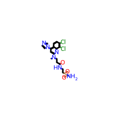 CN(CCC(=O)NCCS(N)(=O)=O)c1cc(-n2ccnc2)c2ccc(Cl)c(Cl)c2n1